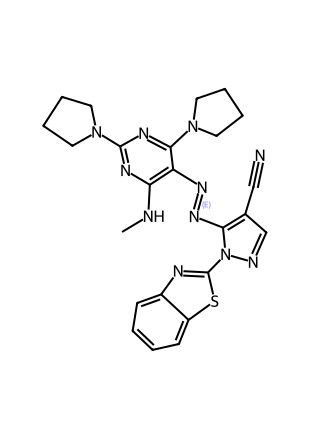 CNc1nc(N2CCCC2)nc(N2CCCC2)c1/N=N/c1c(C#N)cnn1-c1nc2ccccc2s1